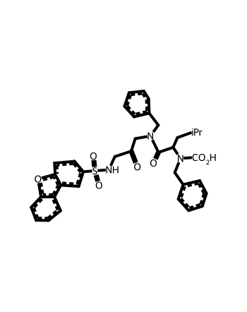 CC(C)CC(C(=O)N(CC(=O)CNS(=O)(=O)c1ccc2oc3ccccc3c2c1)Cc1ccccc1)N(Cc1ccccc1)C(=O)O